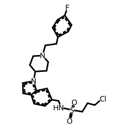 O=S(=O)(CCCCl)NCc1ccc2ccn(C3CCN(CCc4ccc(F)cc4)CC3)c2c1